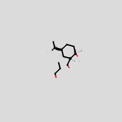 CC[C@@]1(CO)[C@H](CCCO)/C(=C(/C)C=O)CC[C@]1(C)O